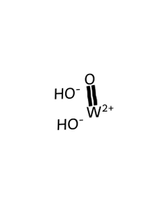 [OH-].[OH-].[O]=[W+2]